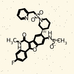 CNC(=O)c1c(-c2ccc(F)cc2)oc2cc(N[S@+](C)[O-])c([C@@H]3CCCN(S(=O)(=O)Cc4ccccn4)C3)cc12